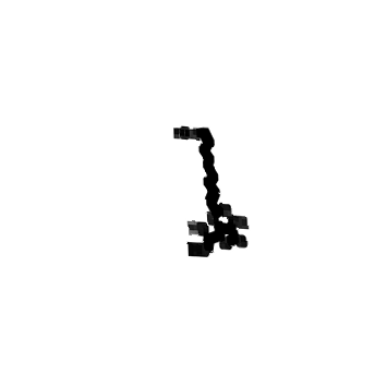 CCCCCCCC/C=C\CCCCCCCC(=O)OC1=C(O)C(=O)O[C@@H]1[C@@H](O)CO